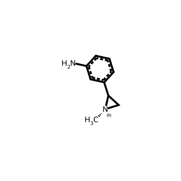 C[N@@]1CC1c1cccc(N)c1